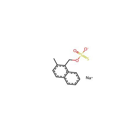 Cc1ccc2ccccc2c1COS(=O)([O-])=S.[Na+]